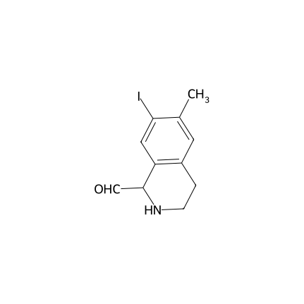 Cc1cc2c(cc1I)C(C=O)NCC2